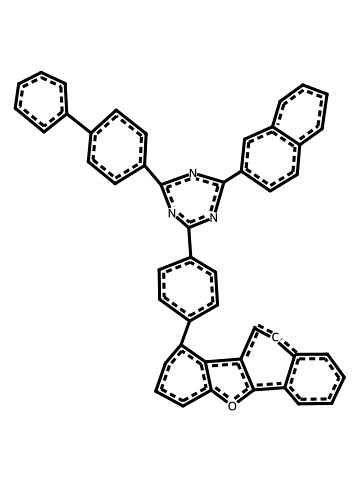 c1ccc(-c2ccc(-c3nc(-c4ccc(-c5cccc6oc7c8ccccc8ccc7c56)cc4)nc(-c4ccc5ccccc5c4)n3)cc2)cc1